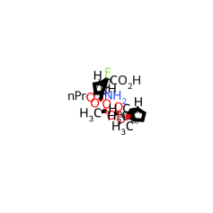 CCCO[C@@H]1C[C@@H]2[C@H]([C@]1(N)C(=O)OC(C)OC(=O)O[C@@H]1C[C@@H]3CC[C@@]1(C)C3(C)C)[C@@]2(F)C(=O)O